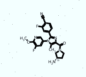 COc1ncc(-n2c(-c3ccc(C#N)c(F)c3)nc(C(=O)N3CC[C@H](N)C3)c2C)cc1F